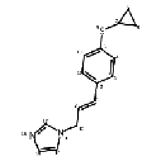 C(=Cc1ccc(SC2CC2)cc1)Cn1ccnc1